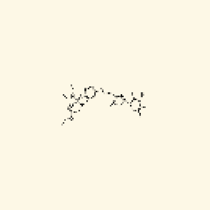 CCOC(=O)CN(Cc1cccc(OCCc2nc(-c3cc(F)c(C)c(F)c3F)oc2C)c1)S(=O)(=O)N(CC)CC